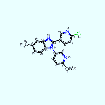 COc1ccc(-n2c(-c3ccc(Cl)nc3)nc3cc(C(F)(F)F)ccc32)cn1